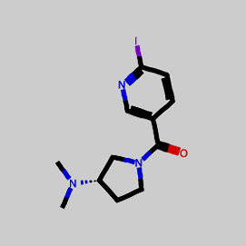 CN(C)[C@H]1CCN(C(=O)c2ccc(I)nc2)C1